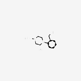 CN1CCN(c2ccccc2CCl)CC1.Cl